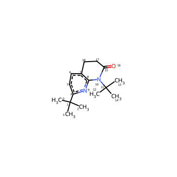 CC(C)(C)c1ccc2c(n1)N(C(C)(C)C)C(=O)CC2